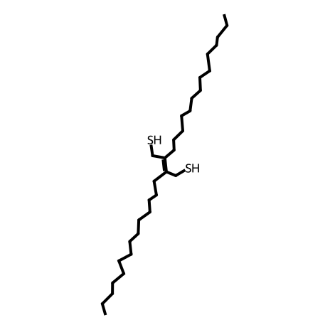 CCCCCCCCCCCCCCC(CS)=C(CS)CCCCCCCCCCCCCC